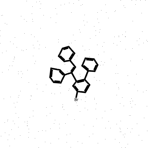 Brc1ccc(-c2ccccc2)c(C(=Cc2ccccc2)c2ccccc2)c1